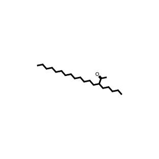 CCCCCCCCCCCCCC(CCCCC)C(C)=O